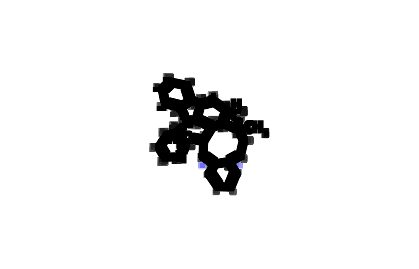 C=C1/C=c2/cccc/c2=C/CC(C)(C)c2ccc3c4ccccc4n(-c4cccnc4)c3c21